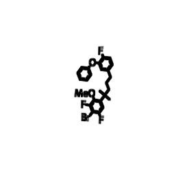 COc1c(C(C)(C)CCCc2ccc(F)c(Oc3ccccc3)c2)cc(F)c(Br)c1F